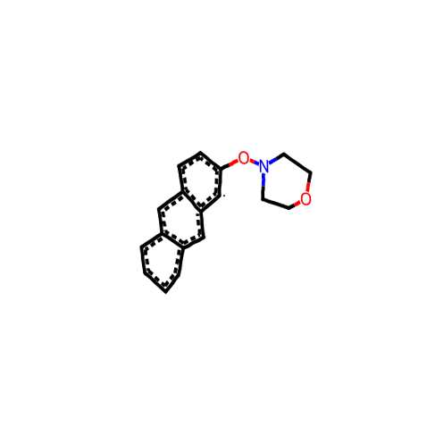 [c]1c(ON2CCOCC2)ccc2cc3ccccc3cc12